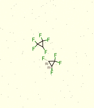 FC1C(F)(F)C1(F)F.F[C@H]1[C@H](F)C1(F)F